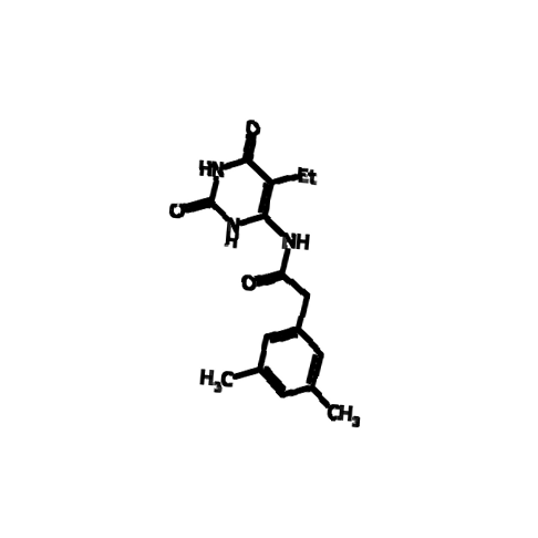 CCc1c(NC(=O)Cc2cc(C)cc(C)c2)[nH]c(=O)[nH]c1=O